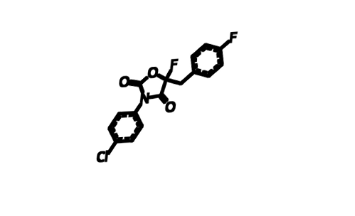 O=C1OC(F)(Cc2ccc(F)cc2)C(=O)N1c1ccc(Cl)cc1